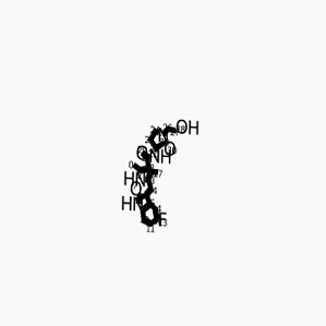 Cc1[nH]c(/C=C2\C(=O)Nc3ccc(F)cc32)c(C)c1C(=O)N[C@H]1CCN(CCO)C1=O